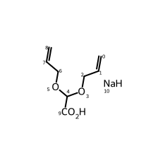 C=CCOC(OCC=C)C(=O)O.[NaH]